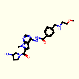 COCCNCc1ccc(C(=O)NNc2ncnc3c2cc(C(=O)N2CCC(N)C2)n3C)cc1